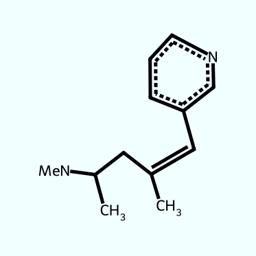 CNC(C)CC(C)=Cc1cccnc1